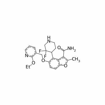 CCOc1ncccc1COc1ccc2oc(C)c(C(N)=O)c2c1C1CCNCC1(F)F